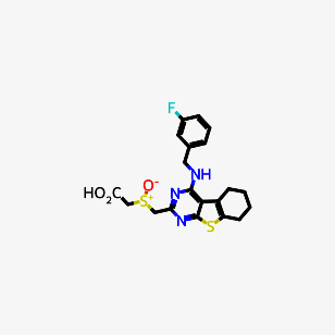 O=C(O)C[S+]([O-])Cc1nc(NCc2cccc(F)c2)c2c3c(sc2n1)CCCC3